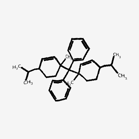 CC(C)C1C=CC(C)(C(c2ccccc2)(c2ccccc2)C2(C)C=CC(C(C)C)CC2)CC1